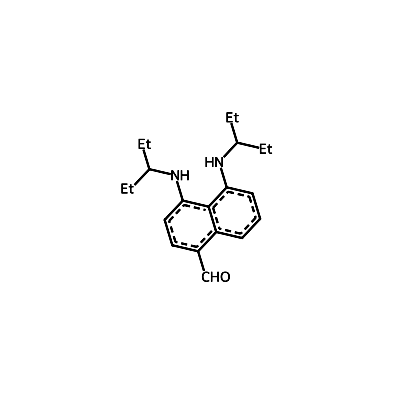 CCC(CC)Nc1cccc2c(C=O)ccc(NC(CC)CC)c12